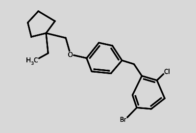 CCC1(COc2ccc(Cc3cc(Br)ccc3Cl)cc2)CCCC1